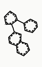 [c]1cccc(-c2ccccc2)c1-c1ccc2ccccc2c1